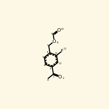 CC(=O)c1ccc(COC=O)c(F)c1